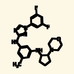 Cc1cc(Nc2ncn(-c3cc(F)cc(F)c3)n2)cc(NC2CCCC2N2CCOCC2)c1